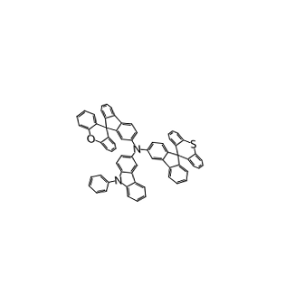 c1ccc(-n2c3ccccc3c3cc(N(c4ccc5c(c4)-c4ccccc4C54c5ccccc5Sc5ccccc54)c4ccc5c(c4)C4(c6ccccc6Oc6ccccc64)c4ccccc4-5)ccc32)cc1